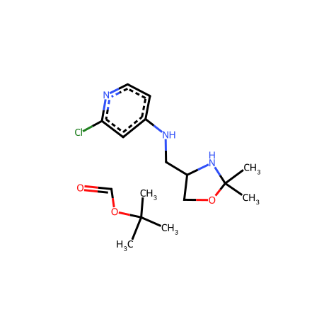 CC(C)(C)OC=O.CC1(C)NC(CNc2ccnc(Cl)c2)CO1